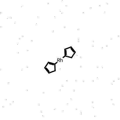 C1=CC[C]([Rh][C]2=CC=CC2)=C1